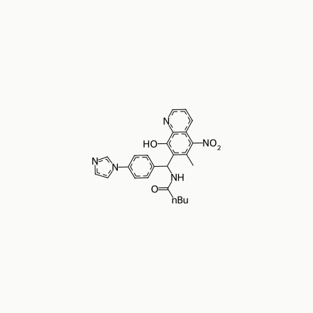 CCCCC(=O)NC(c1ccc(-n2ccnc2)cc1)c1c(C)c([N+](=O)[O-])c2cccnc2c1O